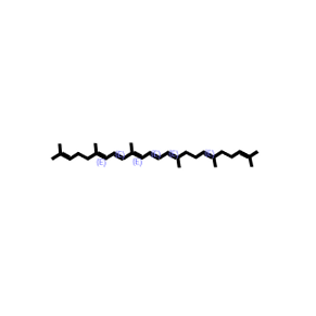 CC(C)=CCC/C(C)=C/C=C/C(C)=C/C=C/C=C(\C)CC/C=C(\C)CCC=C(C)C